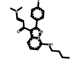 CCCCNc1cccc2c(C(=O)/C=C/N(C)C)c(-c3ccc(F)cc3)nn12